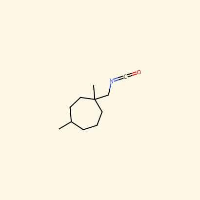 CC1CCCC(C)(CN=C=O)CC1